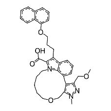 COCc1nn(C)c2c1-c1cccc3c(CCCOc4cccc5ccccc45)c(C(=O)O)n(c13)CCCCCOC2